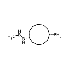 B[C@H]1CCCCC[C@@H](BBC)CCCC1